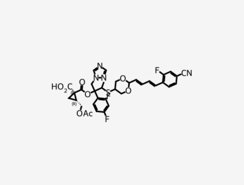 CC(=O)OC[C@@H]1C[C@@]1(C(=O)O)C(=O)OC(Cn1cncn1)(c1ccc(F)cc1F)C(C)SC1COC(C=CC=Cc2ccc(C#N)cc2F)OC1